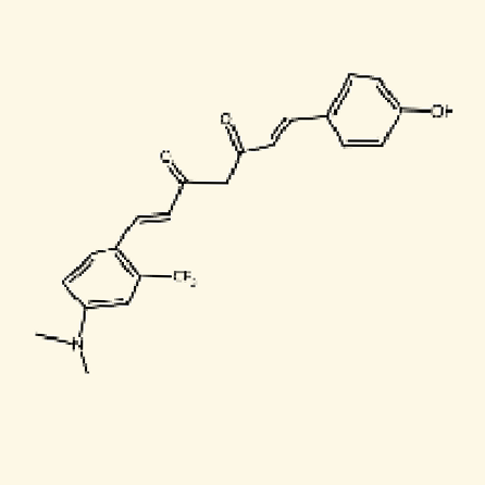 CN(C)c1ccc(C=CC(=O)CC(=O)C=Cc2ccc(O)cc2)c(C(F)(F)F)c1